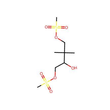 CC(C)(COS(C)(=O)=O)C(O)COS(C)(=O)=O